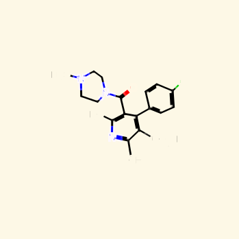 Cc1nc(C)c(C(=O)N2CCN(C)CC2)c(-c2ccc(Cl)cc2)c1C(=O)O